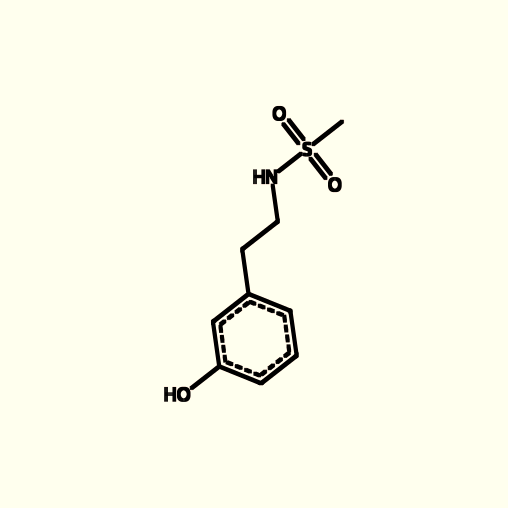 CS(=O)(=O)NCCc1cccc(O)c1